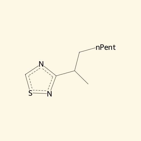 CCCCCCC(C)c1ncsn1